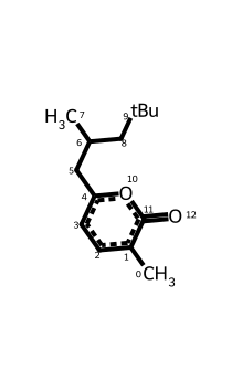 Cc1ccc(CC(C)CC(C)(C)C)oc1=O